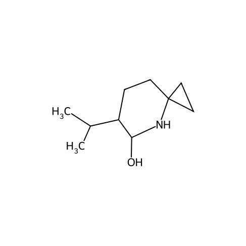 CC(C)C1CCC2(CC2)NC1O